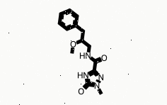 COC(CNC(=O)c1nn(C)c(=O)[nH]1)Cc1ccccc1